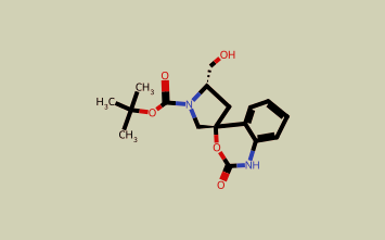 CC(C)(C)OC(=O)N1C[C@]2(C[C@H]1CO)OC(=O)Nc1ccccc12